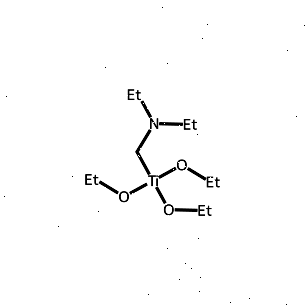 CC[O][Ti]([CH2]N(CC)CC)([O]CC)[O]CC